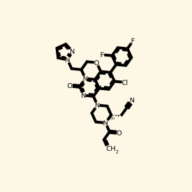 C=CC(=O)N1CCN(c2nc(=O)n3c4c(c(-c5ccc(F)cc5F)c(Cl)cc24)OCC3Cn2cccn2)C[C@@H]1CC#N